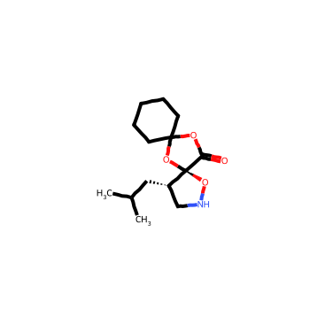 CC(C)C[C@H]1CNO[C@]12OC1(CCCCC1)OC2=O